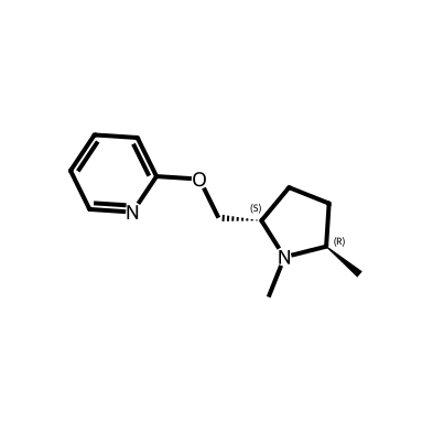 C[C@@H]1CC[C@@H](COc2ccccn2)N1C